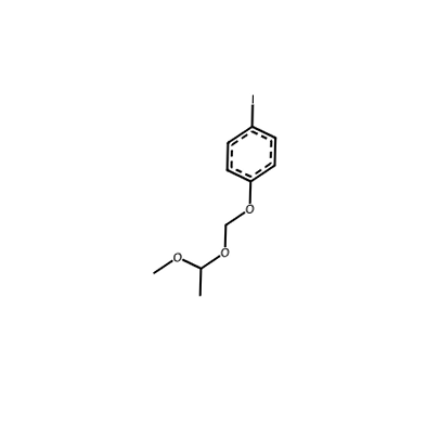 COC(C)OCOc1ccc(I)cc1